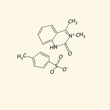 Cc1c2ccccc2[nH]c(=O)[n+]1C.Cc1ccc(S(=O)(=O)[O-])cc1